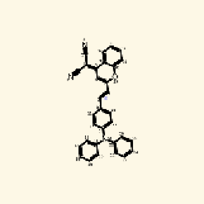 N#CC(C#N)=C1C=C(/C=C/c2ccc(N(c3ccccc3)c3ccccc3)cc2)Oc2ccccc21